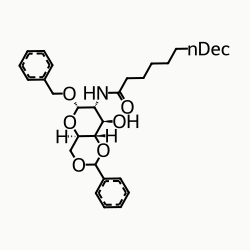 CCCCCCCCCCCCCCCC(=O)N[C@H]1[C@@H](OCc2ccccc2)O[C@@H]2COC(c3ccccc3)O[C@H]2[C@@H]1O